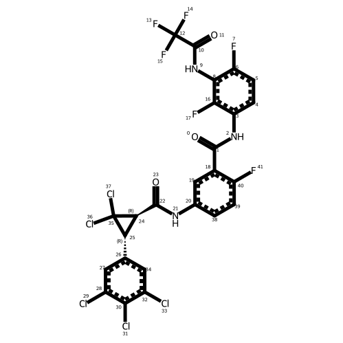 O=C(Nc1ccc(F)c(NC(=O)C(F)(F)F)c1F)c1cc(NC(=O)[C@H]2[C@H](c3cc(Cl)c(Cl)c(Cl)c3)C2(Cl)Cl)ccc1F